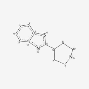 c1ccc2sc(C3CC[N]CC3)nc2c1